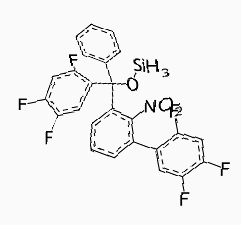 O=[N+]([O-])c1c(-c2cc(F)c(F)cc2F)cccc1C(O[SiH3])(c1ccccc1)c1cc(F)c(F)cc1F